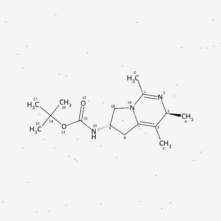 CC1=N[C@@H](C)C(C)=C2C[C@H](NC(=O)OC(C)(C)C)CN12